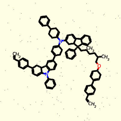 C=Cc1ccc(C2=CCC(OCC(C)CCC(C)CC3(c4ccccc4)c4ccccc4C4=CC=C(N(C5=CC=C(c6ccc7c(c6)C6CC(c8ccc(C=C)cc8)=CC=C6N7c6ccccc6)CC5)C5=CCC(c6ccccc6)CC5)CC43)C=C2)cc1